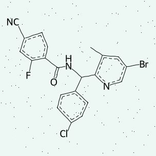 Cc1cc(Br)cnc1C(NC(=O)c1ccc(C#N)cc1F)c1ccc(Cl)cc1